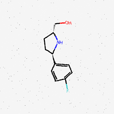 OC[C@H]1CC[C@H](c2ccc(F)cc2)N1